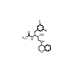 CC(=O)N[C@@H](Cc1cc(F)cc(F)c1)[C@H](O)CNC1CCOc2ccccc21